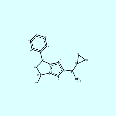 BC(c1nc2n(n1)C(c1ccccc1)CC2C)C1CC1